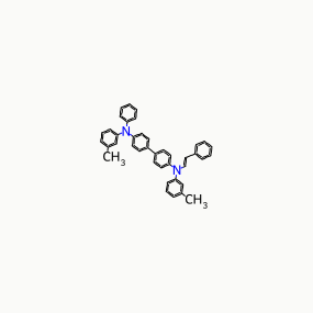 Cc1cccc(N(C=Cc2ccccc2)c2ccc(-c3ccc(N(c4ccccc4)c4cccc(C)c4)cc3)cc2)c1